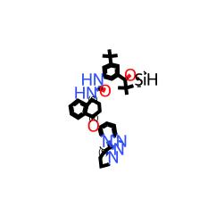 CN1CCC[C@@]1(C)c1nnc2ccc(O[C@@H]3CC[C@H](NC(=O)Nc4cc(C(O[SiH](C)C)C(C)(C)C)cc(C(C)(C)C)c4)c4ccccc43)cn12